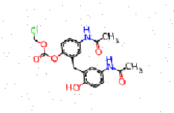 CC(=O)Nc1ccc(O)c(Cc2cc(NC(C)=O)ccc2OC(=O)OCCl)c1